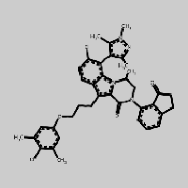 Cc1cc(OCCCc2c3n(c4c(-c5c(C)nn(C)c5C)c(Cl)ccc24)C(C)CN(c2cccc4c2C(=O)CC4)C3=O)cc(C)c1Cl